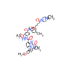 COc1ccc(Cn2c(C(=O)N(C)C)nc3c(C(=O)Nc4ccc(C(=O)N(C)c5ccc(C)cc5OCCCCCC(=O)N5CCN(C)CC5)cc4OC)cccc32)cc1